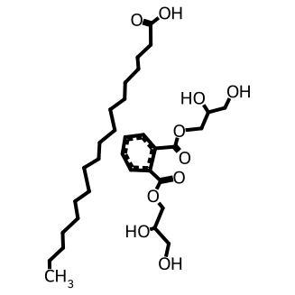 CCCCCCCCCCCCCCCCCC(=O)O.O=C(OCC(O)CO)c1ccccc1C(=O)OCC(O)CO